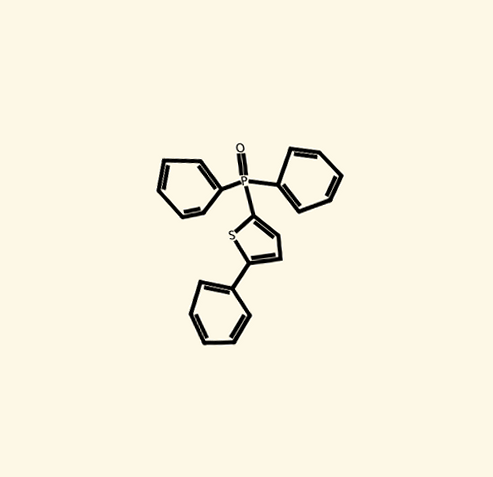 O=P(c1ccccc1)(c1ccccc1)c1ccc(-c2ccccc2)s1